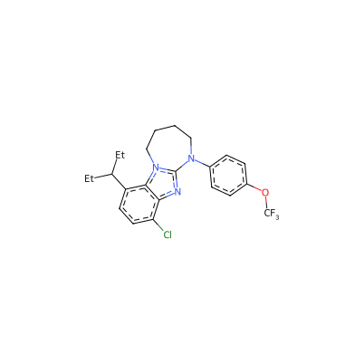 CCC(CC)c1ccc(Cl)c2nc3n(c12)CCCCN3c1ccc(OC(F)(F)F)cc1